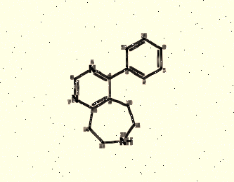 c1ccc(-c2ncnc3c2CCNCC3)cc1